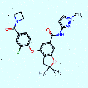 Cn1ccc(NC(=O)c2cc(Oc3ccc(C(=O)N4CCC4)cc3F)c3c(c2)OC(C)(C)C3)n1